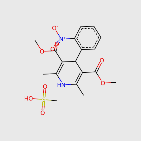 COC(=O)C1=C(C)NC(C)=C(C(=O)OC)C1c1ccccc1[N+](=O)[O-].CS(=O)(=O)O